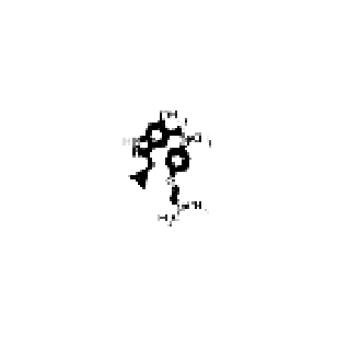 CN(C)CCOc1ccc(N(C)C(=O)c2cc3c(CC4CC4)n[nH]c3cc2O)cc1